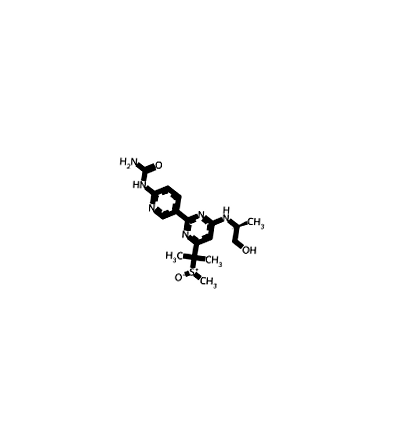 C[C@@H](CO)Nc1cc(C(C)(C)[S+](C)[O-])nc(-c2ccc(NC(N)=O)nc2)n1